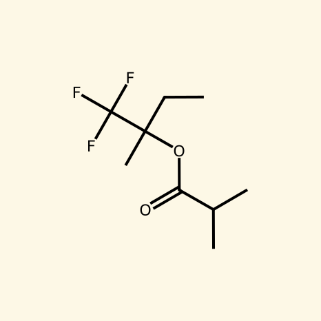 CCC(C)(OC(=O)C(C)C)C(F)(F)F